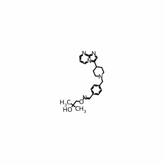 CC(C)(O)CON=Cc1ccc(CN2CCC(c3cnc4ncccn34)CC2)cc1